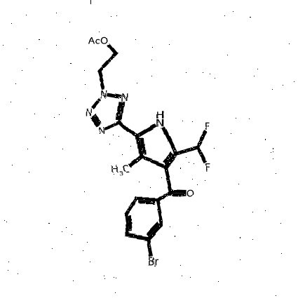 CC(=O)OCCn1nnc(-c2[nH]c(C(F)F)c(C(=O)c3cccc(Br)c3)c2C)n1